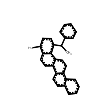 CC(c1ccccc1)c1ccc(O)c2ccc3c4ccc5ccccc5c4ccc3c12